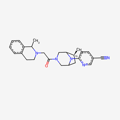 CC1c2ccccc2CCN1CC(=O)N1CC2C[C@H](C)C(C1)N2c1ccc(C#N)cn1